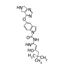 CC(C)(C)C/C(O)=C/C(=N)NC(=O)n1ccc2cc(Oc3ncnc4c3CNC4)ccc21